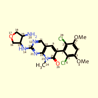 COc1cc(OC)c(Cl)c(-c2cc3cnc(NC4COCC4N)nc3n(C)c2=O)c1Cl